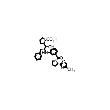 Cc1coc([C@H]2CCCN2C(=O)c2cccc(N[C@@H](Cc3ccccc3)[C@H](O)C3CCCN3C(=O)O)c2)n1